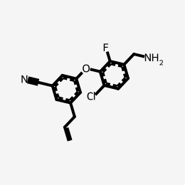 C=CCc1cc(C#N)cc(Oc2c(Cl)ccc(CN)c2F)c1